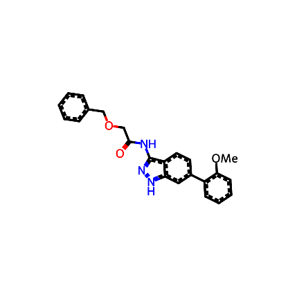 COc1ccccc1-c1ccc2c(NC(=O)COCc3ccccc3)n[nH]c2c1